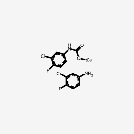 CC(C)(C)OC(=O)Nc1ccc(F)c(Cl)c1.Nc1ccc(F)c(Cl)c1